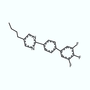 CCCCc1cnc(-c2ccc(-c3cc(F)c(F)c(F)c3)cc2)nc1